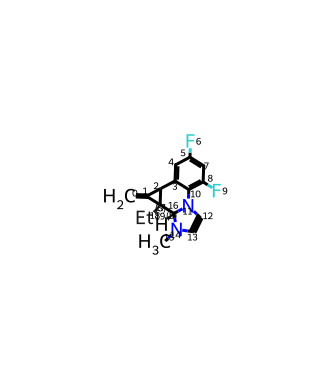 C=C1C2c3cc(F)cc(F)c3N3C#CN(C)[C@@H]3[C@]12CC